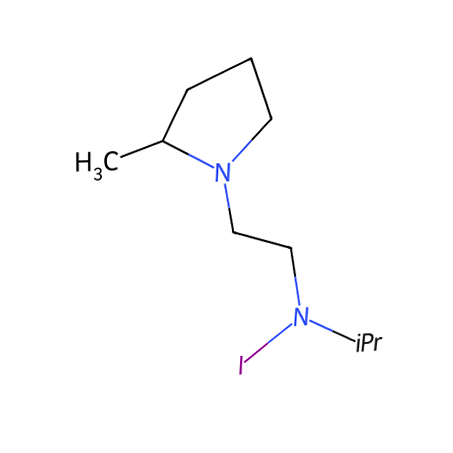 CC(C)N(I)CCN1CCCC1C